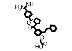 N=C(N)c1ccc(C(=O)N2CCCC2C(=O)c2ccc(OCC(=O)O)c(CCc3ccccc3)c2)cc1